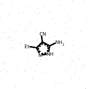 CCc1n[nH]c(N)c1C#N